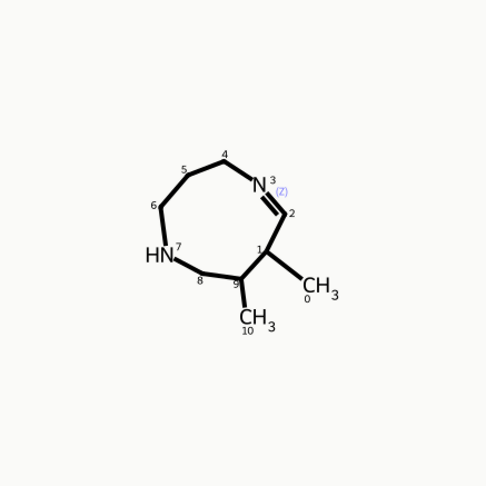 CC1/C=N\CCCNCC1C